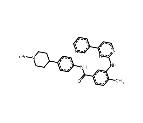 CCCN1CCC(c2ccc(NC(=O)c3ccc(C)c(Nc4nccc(-c5cccnc5)n4)c3)cc2)CC1